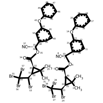 CC1(C)[C@H](C(=O)O[C@H](C#N)c2cccc(Oc3ccccc3)c2)[C@@H]1C(Br)C(Br)(Br)Br.CC1(C)[C@H](C(=O)O[C@H](C#N)c2cccc(Oc3ccccc3)c2)[C@@H]1C(Br)C(Br)(Br)Br